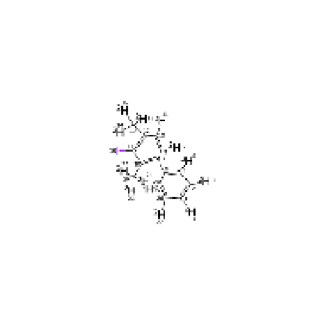 [2H]c1c([2H])c([2H])c(-c2c([2H])c([2H])c(C([2H])([2H])[2H])c(I)c2C([2H])([2H])[2H])c([2H])c1[2H]